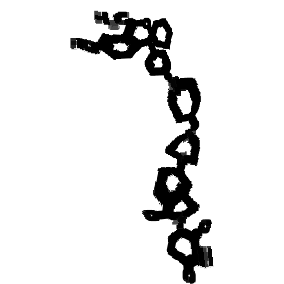 CC1OC2(CCCCC2)C(c2ccc(N3CCC(CN4CCN(c5ccc6c(c5)CN([C@H]5CCC(=O)NC5=O)C6=O)CC4)CC3)cc2)c2ccc(O)cc21